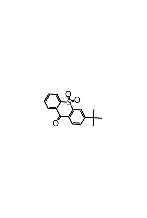 CC(C)(C)c1ccc2c(c1)S(=O)(=O)c1ccccc1C2=O